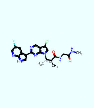 CNC(=O)CNC(=O)[C@@H](C)[C@H](C)n1cc(Cl)c2cnc(-c3c[nH]c4ncc(F)cc34)nc21